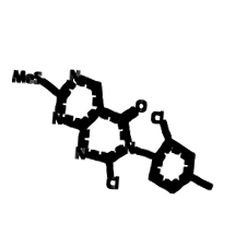 CSc1ncc2c(=O)n(-c3ccc(C)cc3Cl)c(Cl)nc2n1